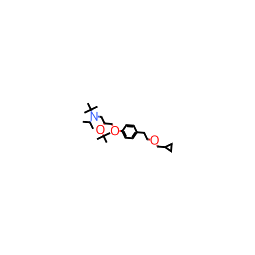 CC(C)N(CC(COc1ccc(CCOCC2CC2)cc1)OC(C)(C)C)C(C)(C)C